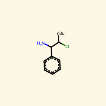 CCCCC(Cl)C(N)c1ccccc1